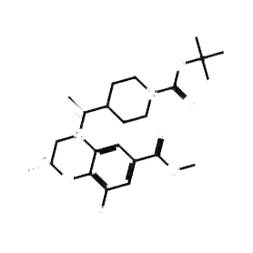 COC(=O)c1cc(F)c2c(c1)N([C@@H](C)C1CCN(C(=O)OC(C)(C)C)CC1)C[C@@H](C)O2